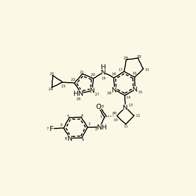 O=C(Nc1ccc(F)nc1)[C@H]1CCN1c1nc2c(c(Nc3cc(C4CC4)[nH]n3)n1)CCC2